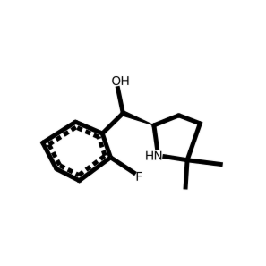 CC1(C)CC[C@H](C(O)c2ccccc2F)N1